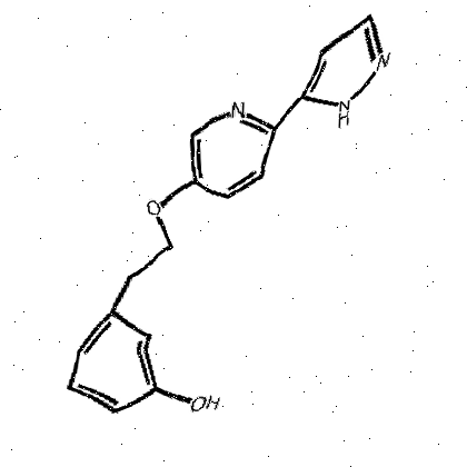 Oc1cccc(CCOc2ccc(-c3ccn[nH]3)nc2)c1